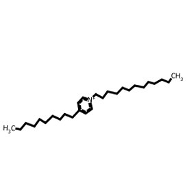 CCCCCCCCCCCCC[n+]1ccc(CCCCCCCCCC)cc1